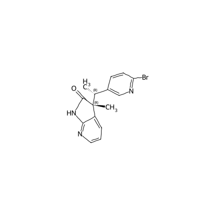 C[C@H](c1ccc(Br)nc1)[C@@]1(C)C(=O)Nc2ncccc21